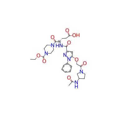 CCOC(=O)N1CCN(C(=O)[C@H](CCC(=O)O)NC(=O)c2cc(OCC(=O)N3CCC(NC(C)=O)C3)n(-c3ccccc3)n2)CC1